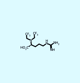 N=C(N)NCCC[C@@H](C(=O)O)N(CC(F)(F)F)CC(F)(F)F